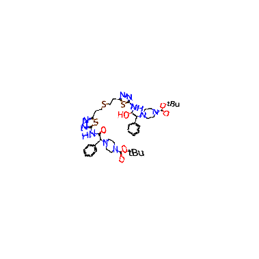 CC(C)(C)OC(=O)N1CCN(C(C(=O)Nc2nnc(CCSCCc3nnc(NC(O)C(c4ccccc4)N4CCN(C(=O)OC(C)(C)C)CC4)s3)s2)c2ccccc2)CC1